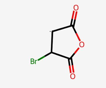 O=C1[CH]C(Br)C(=O)O1